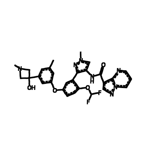 Cc1cc(Oc2ccc(OC(F)F)c(-c3nn(C)cc3NC(=O)c3cnn4cccnc34)c2)cc(C2(O)CN(C)C2)c1